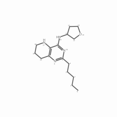 CCCCCc1nc2c(c(NC3CCOC3)n1)NCCC2